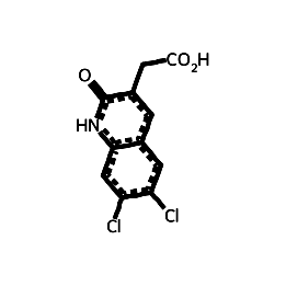 O=C(O)Cc1cc2cc(Cl)c(Cl)cc2[nH]c1=O